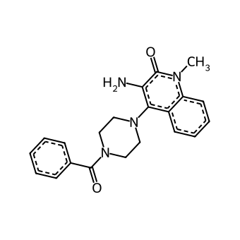 Cn1c(=O)c(N)c(N2CCN(C(=O)c3ccccc3)CC2)c2ccccc21